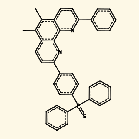 Cc1c(C)c2ccc(-c3ccc(P(=S)(c4ccccc4)c4ccccc4)cc3)nc2c2nc(-c3ccccc3)ccc12